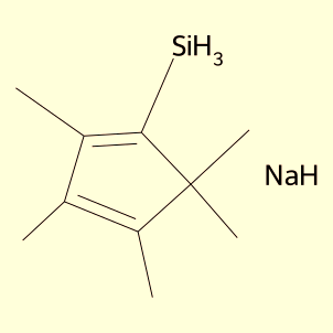 CC1=C(C)C(C)(C)C([SiH3])=C1C.[NaH]